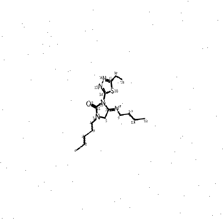 CCCCCN1CC(=NCCCC)N(c2nnc(CC)s2)C1=O